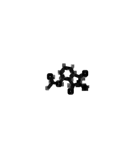 CC(=O)Oc1cccc2c1C(=O)N(Br)C2=O